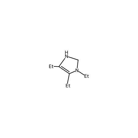 CCC1=C(CC)N(CC)CN1